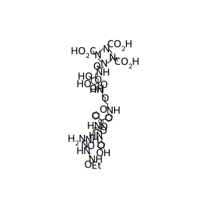 CCC(=O)NCCNC(=O)/N=C(/N)NCCC[C@@H](NC(=O)[C@@H](c1ccccc1)c1cccc(NC(=O)CCOCCNC(=O)C2OC(CNC(=O)CN3CCN(CC(=O)O)CCN(CC(=O)O)CCN(CC(=O)O)CC3)C(O)C(O)C2O)c1)C(=O)NCc1ccc(O)cc1